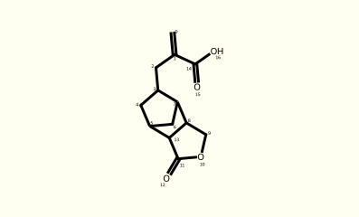 C=C(CC1CC2CC1C1COC(=O)C21)C(=O)O